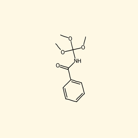 COC(NC(=O)c1ccccc1)(OC)OC